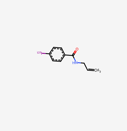 C=CCNC(=O)c1ccc([123I])cc1